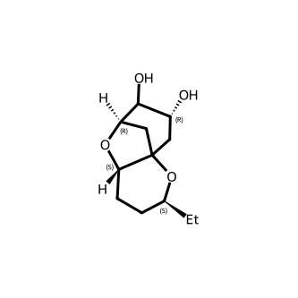 CC[C@H]1CC[C@@H]2O[C@@H]3CC2(C[C@@H](O)C3O)O1